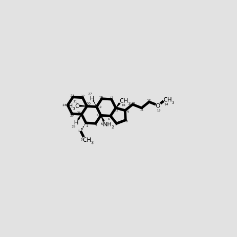 CC[C@H]1C[C@@]2(N)C3CCC(CCCOC)[C@@]3(C)CC[C@@H]2[C@@]2(C)CCCC[C@@H]12